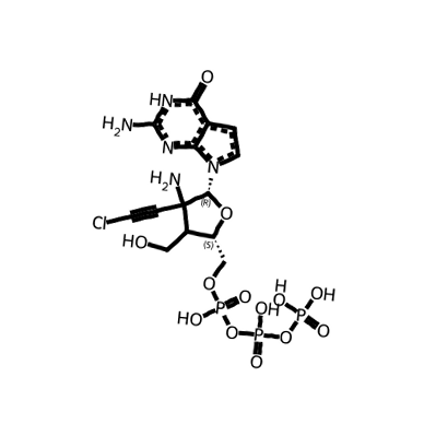 Nc1nc2c(ccn2[C@@H]2O[C@H](COP(=O)(O)OP(=O)(O)OP(=O)(O)O)C(CO)C2(N)C#CCl)c(=O)[nH]1